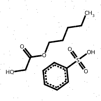 CCCCCOC(=O)CO.O=S(=O)(O)c1ccccc1